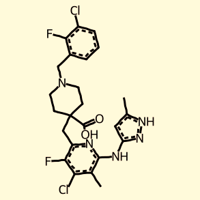 Cc1cc(Nc2nc(CC3(C(=O)O)CCN(Cc4cccc(Cl)c4F)CC3)c(F)c(Cl)c2C)n[nH]1